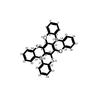 c1ccc2c(c1)Oc1c3c4c(c5c1B2c1ccccc1O5)Sc1ccccc1B4c1ccccc1S3